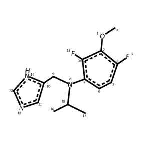 COc1c(F)ccc(N(Cc2cnc[nH]2)C(C)C)c1F